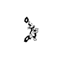 C#CC1C(NC(=O)COc2ccccc2)C(=O)N1C1(CC)OC(CC(=O)OCc2ccccc2)O1